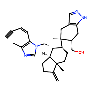 C#C/C=C\c1c(C)ncn1C[C@@H]1[C@@H]([C@@]2(C)Cc3cn[nH]c3C[C@@H]2CO)CC[C@]2(C)C(=C)CC[C@@H]12